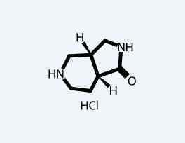 Cl.O=C1NC[C@H]2CNCC[C@@H]12